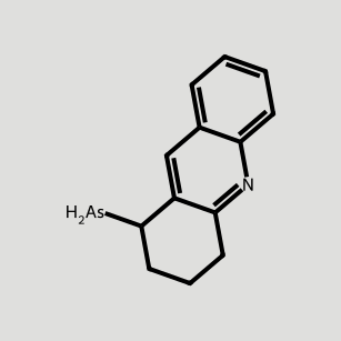 [AsH2]C1CCCc2nc3ccccc3cc21